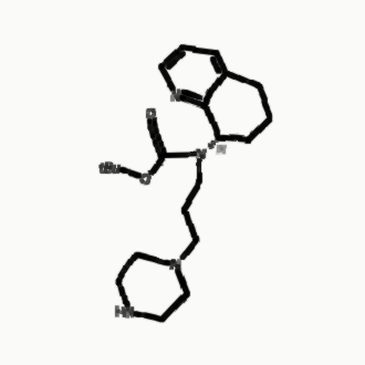 CC(C)(C)OC(=O)N(CCCN1CCNCC1)[C@H]1CCCc2cccnc21